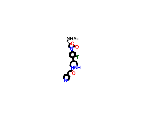 CC(=O)NC[C@H]1CN(c2ccc(C3CCNN(C(=O)Cc4ccncc4)CC3)c(F)c2)C(=O)O1